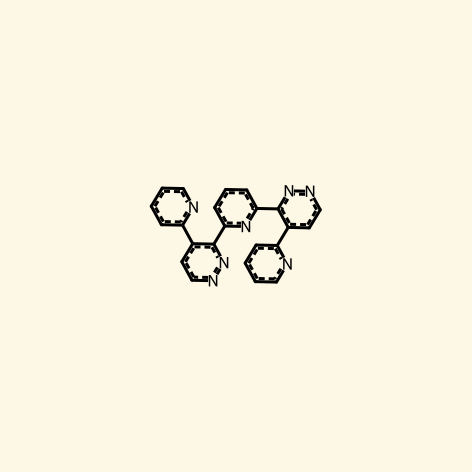 c1ccc(-c2ccnnc2-c2cccc(-c3nnccc3-c3ccccn3)n2)nc1